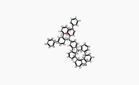 c1ccc(-c2ccc(N(c3ccc4c(c3)c3cccc5c6cccc7sc8cccc(c9ccccc9n4c53)c8c76)c3ccc(-c4ccccc4)cc3-c3ccccc3)cc2)cc1